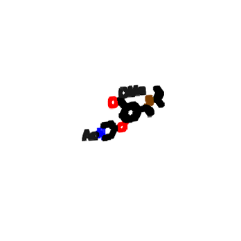 C=C(S/C(C)=C\C)c1cc(OC2CCN(C(C)=O)CC2)cc(C(=O)OC)c1